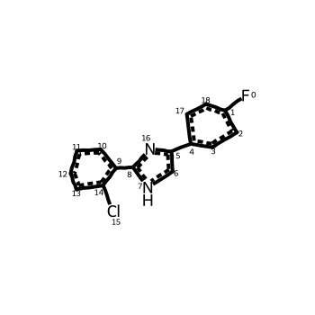 Fc1ccc(-c2c[nH]c(-c3ccccc3Cl)n2)cc1